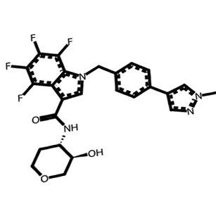 Cn1cc(-c2ccc(Cn3cc(C(=O)N[C@H]4CCOC[C@@H]4O)c4c(F)c(F)c(F)c(F)c43)cc2)cn1